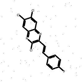 Fc1ccc(/C=C/c2nc3cc(Cl)c(Cl)cc3nc2Cl)cc1